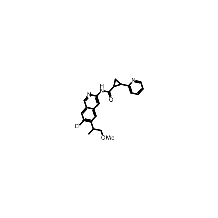 COCC(C)c1cc2cc(NC(=O)C3CC3c3ccccn3)ncc2cc1Cl